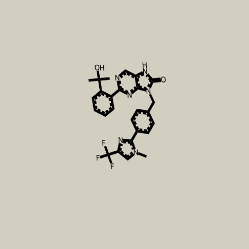 Cn1cc(C(F)(F)F)nc1-c1ccc(Cn2c(=O)[nH]c3cnc(-c4ccccc4C(C)(C)O)nc32)cc1